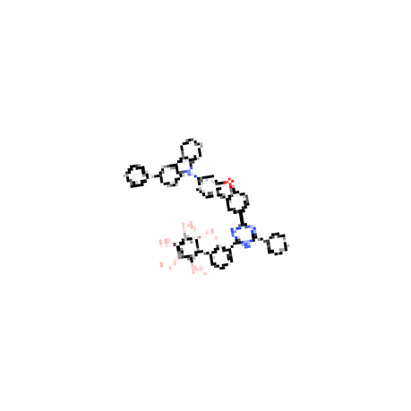 Bc1c(B)c(B)c(-c2cccc(-c3nc(-c4ccccc4)nc(-c4ccc5oc6cc(-n7c8ccccc8c8cc(-c9ccccc9)ccc87)ccc6c5c4)n3)c2)c(B)c1B